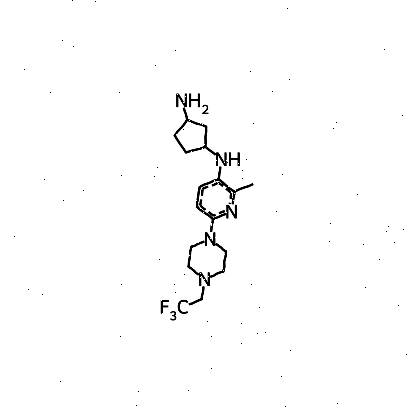 Cc1nc(N2CCN(CC(F)(F)F)CC2)ccc1NC1CCC(N)C1